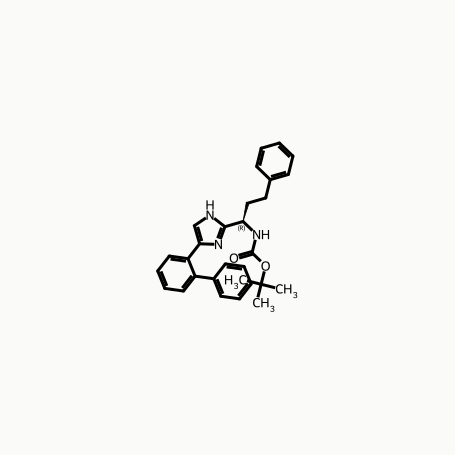 CC(C)(C)OC(=O)N[C@H](CCc1ccccc1)c1nc(-c2ccccc2-c2ccccc2)c[nH]1